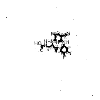 C[C@H](NC(=O)O)[C@@H](Nc1nc(Nc2ccc(F)c(F)c2)c(C#N)cc1F)C1CC1